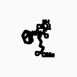 COC(=O)CCCCN(CC(=O)O)C(=O)[C@H](C)CS.NC12CC3CC(CC(C3)C1)C2